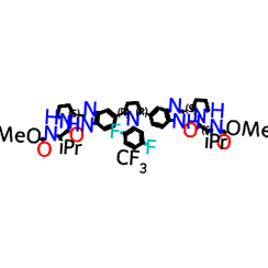 COC(=O)NC(C(=O)N1CCC[C@H]1c1nc2cc([C@H]3CC[C@H](c4ccc5[nH]c([C@@H]6CCCN6C(=O)[C@@H](NC(=O)OC)C(C)C)nc5c4)N3c3cc(F)c(C(F)(F)F)cc3F)ccc2[nH]1)C(C)C